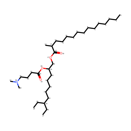 CCCCCCCCCCCCCC(C)C(=O)OCC(CCCCCC(CC)CC)OC(=O)CCCN(C)C